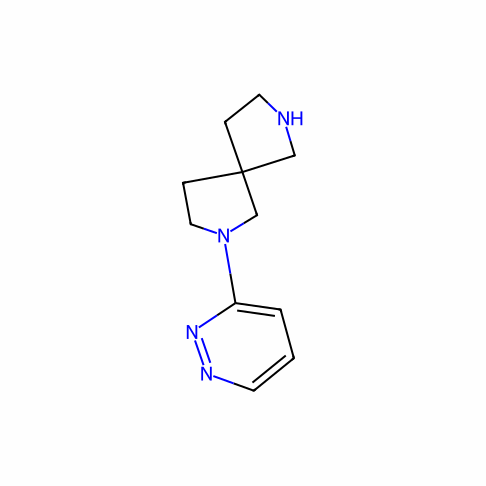 c1cnnc(N2CCC3(CCNC3)C2)c1